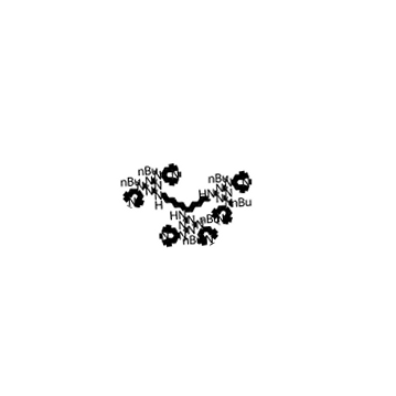 CCCCN(c1nc(NCCCCCC(CCCCCNc2nc(N(CCCC)C3CC(C)(C)N(C)C(C)(C)C3)nc(N(CCCC)C3CC(C)(C)N(C)C(C)(C)C3)n2)Nc2nc(N(CCCC)C3CC(C)(C)N(C)C(C)(C)C3)nc(N(CCCC)C3CC(C)(C)N(C)C(C)(C)C3)n2)nc(N(CCCC)C2CC(C)(C)N(C)C(C)(C)C2)n1)C1CC(C)(C)N(C)C(C)(C)C1